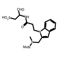 CNN(C)Cc1cc2ccccc2n1CCC(=O)NC(C=O)CS(=O)(=O)O